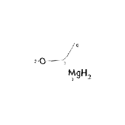 CC[O].[MgH2]